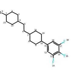 CCC1CCC(CCC2CCC(c3cc(F)c(F)c(F)c3)CC2)CC1